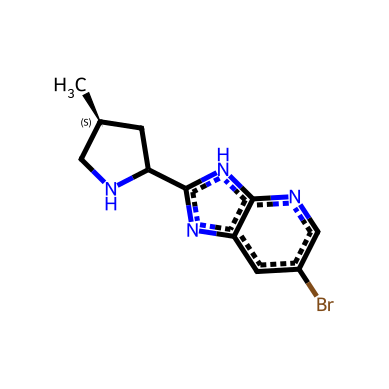 C[C@@H]1CNC(c2nc3cc(Br)cnc3[nH]2)C1